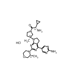 C[C@H]1COCCN1c1nc(-c2cnc(N)nc2)c2c(n1)N([C@@]1(C)CCN(C(=O)[C@@H](N)C3CC3)C1)CC2.Cl